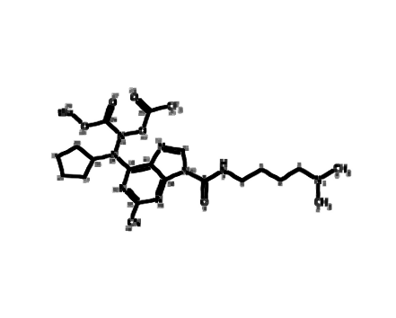 CN(C)CCCCNC(=O)n1cnc2c(N(C3CCCC3)N(OC(=O)C(F)(F)F)C(=O)OC(C)(C)C)nc(C#N)nc21